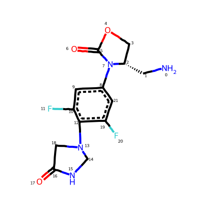 NC[C@H]1COC(=O)N1c1cc(F)c(N2CNC(=O)C2)c(F)c1